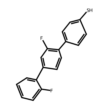 Fc1ccccc1-c1ccc(-c2ccc(S)cc2)c(F)c1